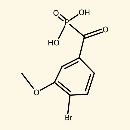 COc1cc(C(=O)P(=O)(O)O)ccc1Br